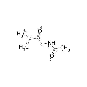 CC(=O)N[CH]C(=O)C(C)C